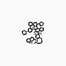 CC1/C=C\C=C/[C@@H](C)C2=C(C=C3Sc4c(c5ccccc5c5c6c(C7=CCCCC7)cccc6n(-c6ccc([C@H]7C=CC=CC7)cc6-c6ccccc6)c45)[C@H]3C2)N1C1=CC=C2C=CC=C[C@@H]2C1